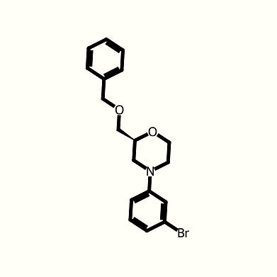 Brc1cccc(N2CCO[C@H](COCc3ccccc3)C2)c1